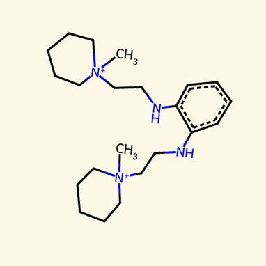 C[N+]1(CCNc2ccccc2NCC[N+]2(C)CCCCC2)CCCCC1